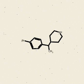 CC(C)c1ccc(C(C)C2CCNCC2)cc1